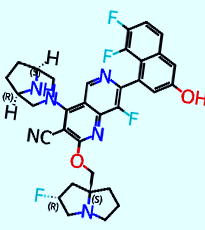 N#Cc1c(OC[C@@]23CCCN2C[C@H](F)C3)nc2c(F)c(-c3cc(O)cc4ccc(F)c(F)c34)ncc2c1N1C[C@H]2CC[C@@H](C1)N2